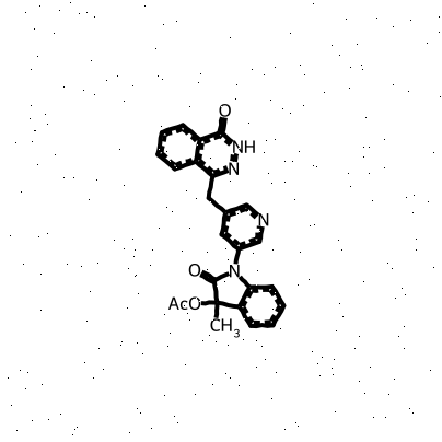 CC(=O)OC1(C)C(=O)N(c2cncc(Cc3n[nH]c(=O)c4ccccc34)c2)c2ccccc21